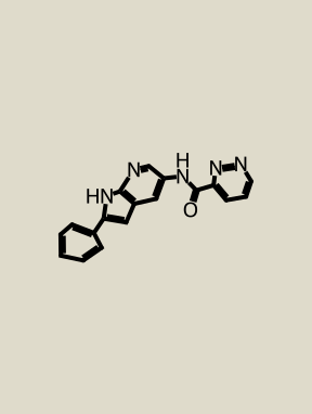 O=C(Nc1cnc2[nH]c(-c3ccccc3)cc2c1)c1cccnn1